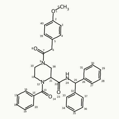 COc1ccc(CC(=O)N2CCN(C(=O)c3ccccc3)C(C(=O)NC(c3ccccc3)c3ccccc3)C2)cc1